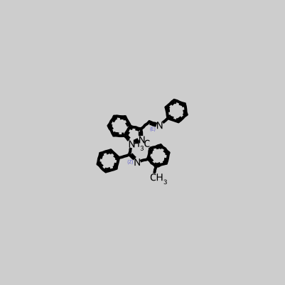 Cc1cccc(C)c1/N=C(/c1ccccc1)n1nc(/C=N/c2ccccc2)c2ccccc21